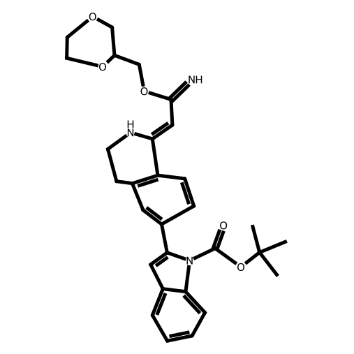 CC(C)(C)OC(=O)n1c(-c2ccc3c(c2)CCN/C3=C\C(=N)OCC2COCCO2)cc2ccccc21